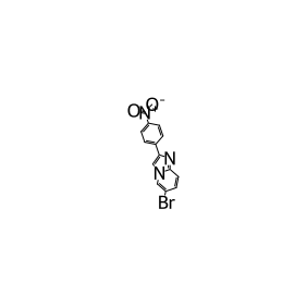 O=[N+]([O-])c1ccc(-c2cn3cc(Br)ccc3n2)cc1